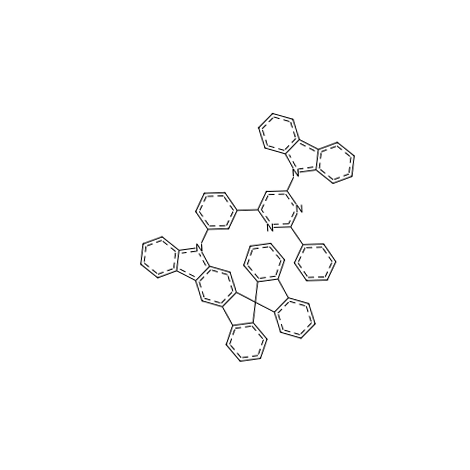 c1ccc(-c2nc(-c3cccc(-n4c5ccccc5c5cc6c(cc54)C4(c5ccccc5-c5ccccc54)c4ccccc4-6)c3)cc(-n3c4ccccc4c4ccccc43)n2)cc1